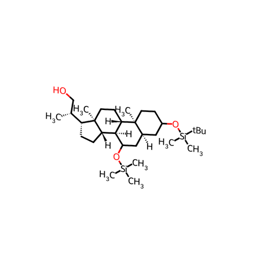 C[C@H](CO)[C@H]1CC[C@H]2[C@@H]3C(O[Si](C)(C)C)C[C@@H]4CC(O[Si](C)(C)C(C)(C)C)CC[C@]4(C)[C@H]3CC[C@]12C